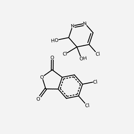 O=C1OC(=O)c2cc(Cl)c(Cl)cc21.OC1N=NC=C(Cl)C1(O)Cl